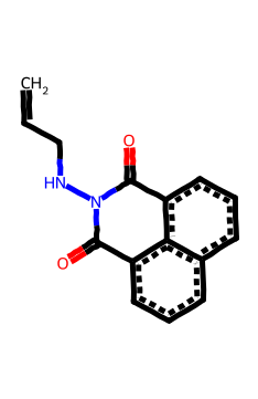 C=CCNN1C(=O)c2cccc3cccc(c23)C1=O